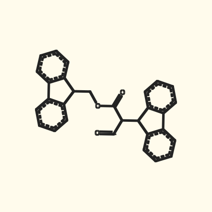 O=[C]C(C(=O)OCC1c2ccccc2-c2ccccc21)C1c2ccccc2-c2ccccc21